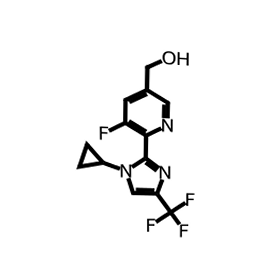 OCc1cnc(-c2nc(C(F)(F)F)cn2C2CC2)c(F)c1